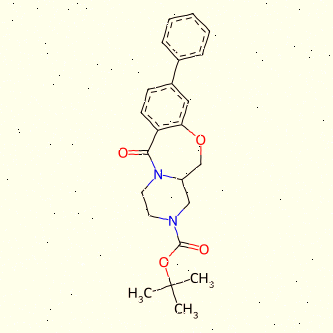 CC(C)(C)OC(=O)N1CCN2C(=O)c3ccc(-c4ccccc4)cc3OCC2C1